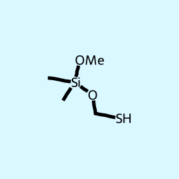 CO[Si](C)(C)OCS